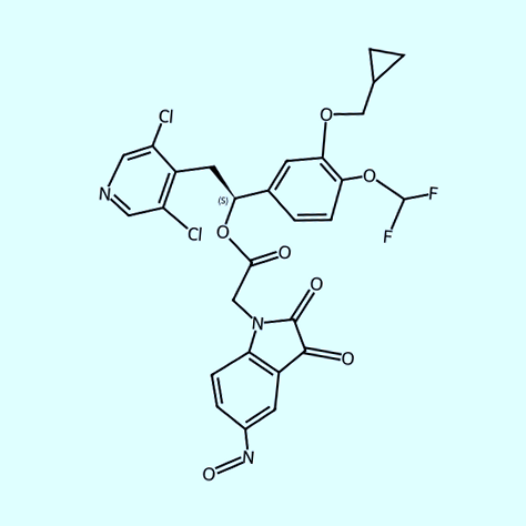 O=Nc1ccc2c(c1)C(=O)C(=O)N2CC(=O)O[C@@H](Cc1c(Cl)cncc1Cl)c1ccc(OC(F)F)c(OCC2CC2)c1